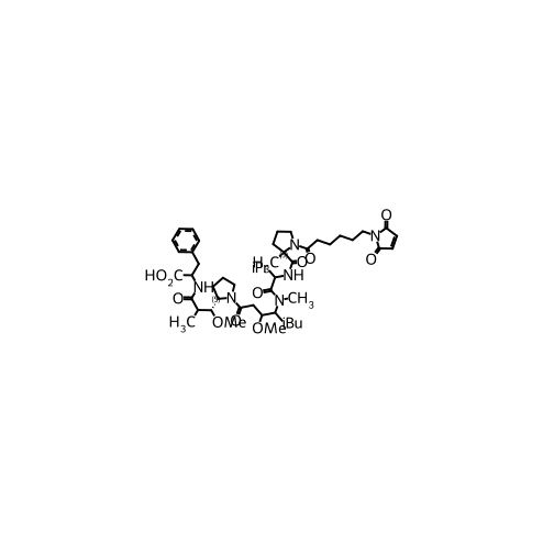 CCC(C)C(C(CC(=O)N1CCC[C@H]1C(OC)C(C)C(=O)NC(Cc1ccccc1)C(=O)O)OC)N(C)C(=O)C(NC(=O)[C@]1(C)CCCN1C(=O)CCCCCN1C(=O)C=CC1=O)C(C)C